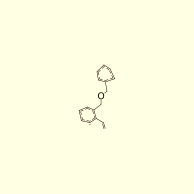 C=Cc1[c]cccc1COCc1ccccc1